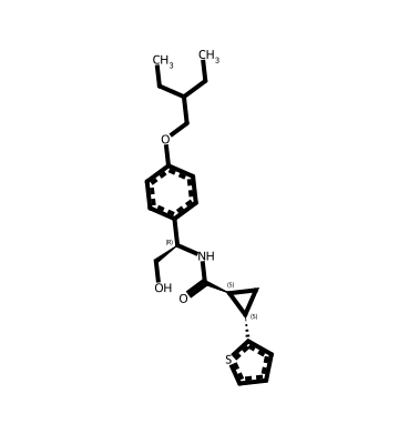 CCC(CC)COc1ccc([C@H](CO)NC(=O)[C@H]2C[C@@H]2c2cccs2)cc1